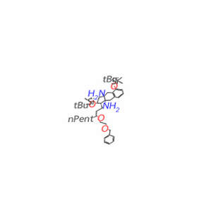 CCCCC[C@@H](CC[C@H]1C(O[Si](C)(C)C(C)(C)C)C[C@]2(N)Cc3c(cccc3O[Si](C)(C)C(C)(C)C)C[C@]12N)OCCOCc1ccccc1